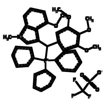 COc1cc(C(c2cn(C)c3cccc(OC)c23)[P+](c2ccccc2)(c2ccccc2)c2ccccc2)cc(OC)c1OC.O=S(=O)([O-])C(F)(F)F